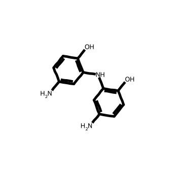 Nc1ccc(O)c(Nc2cc(N)ccc2O)c1